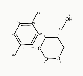 C1COOOC1.CO.Cc1ccc(C)cc1